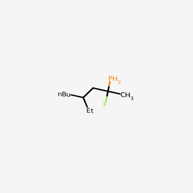 CCCCC(CC)CC(C)(F)P